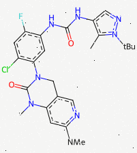 CNc1cc2c(cn1)CN(c1cc(NC(=O)Nc3cnn(C(C)(C)C)c3C)c(F)cc1Cl)C(=O)N2C